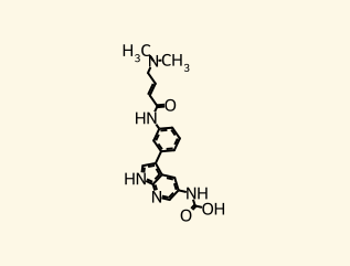 CN(C)CC=CC(=O)Nc1cccc(-c2c[nH]c3ncc(NC(=O)O)cc23)c1